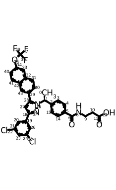 C[C@@H](c1ccc(C(=O)NCCC(=O)O)cc1)n1nc(-c2cc(Cl)cc(Cl)c2)cc1-c1ccc2cc(OC(F)(F)F)ccc2c1